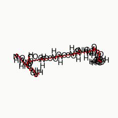 Cc1ccccc1NC(=O)Nc1ccc(CC(=O)N[C@@H](CCCCNC(=O)/C=C/c2cccnc2)C(=O)N[C@@H](CCCC(=O)O)C(=O)NCCCCCCCC(=O)NCCOCCOCCNC(=O)CCC(=O)NCCOCCOCCNC(=O)CCC(=O)N[C@@H](CCCCNC(=O)[C@H](N)CSC2CC(=O)N(CC3CCC(C(=O)NCCCC(O)(P(=O)(O)O)P(=O)(O)O)CC3)C2=O)C(N)=O)cc1